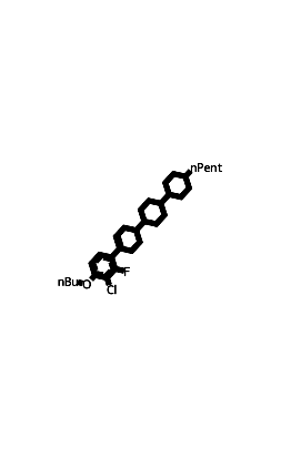 CCCCCC1CCC(C2CCC(C3CC=C(c4ccc(OCCCC)c(Cl)c4F)CC3)CC2)CC1